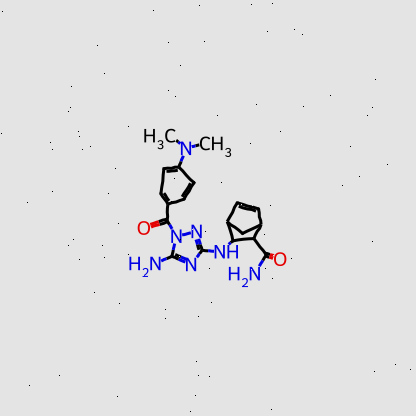 CN(C)c1ccc(C(=O)n2nc(NC3C4C=CC(C4)C3C(N)=O)nc2N)cc1